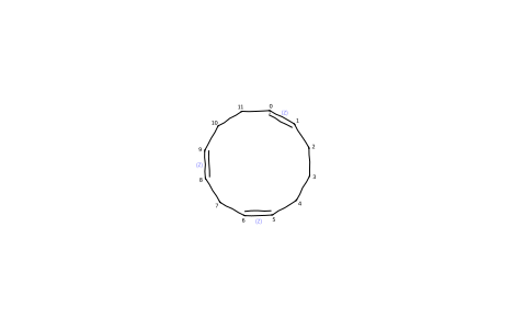 [C]1=C\CCC/C=C\C/C=C\CC/1